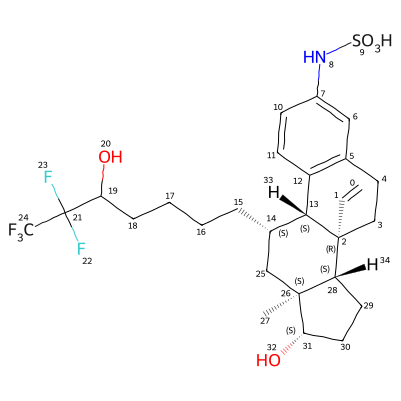 C=C[C@@]12CCc3cc(NS(=O)(=O)O)ccc3[C@H]1[C@@H](CCCCC(O)C(F)(F)C(F)(F)F)C[C@@]1(C)[C@H]2CC[C@@H]1O